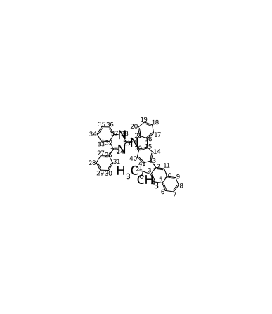 CC1(C)c2cc3ccccc3cc2-c2cc3c4ccccc4n(-c4nc(-c5ccccc5)c5ccccc5n4)c3cc21